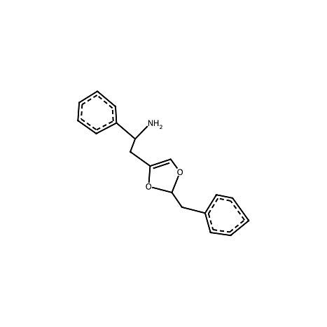 NC(CC1=COC(Cc2ccccc2)O1)c1ccccc1